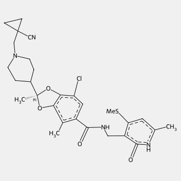 CSc1cc(C)[nH]c(=O)c1CNC(=O)c1cc(Cl)c2c(c1C)O[C@@](C)(C1CCN(CC3(C#N)CC3)CC1)O2